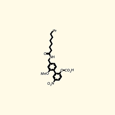 COc1cc(CNC(=O)CCCCCCC(C)C)ccc1-c1cc([N+](=O)[O-])ccc1OC(=O)O